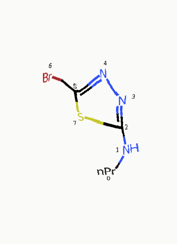 CCCNc1nnc(Br)s1